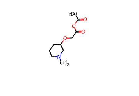 CN1CCCC(OCC(=O)OC(=O)C(C)(C)C)C1